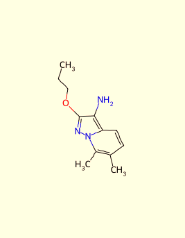 CCCOc1nn2c(C)c(C)ccc2c1N